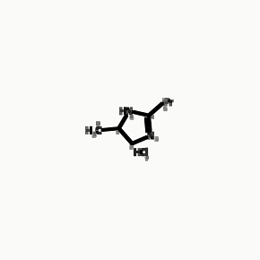 CC1CN=C(C(C)C)N1.Cl